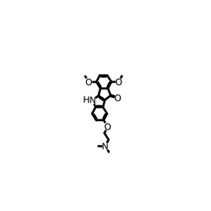 COc1ccc(OC)c2c1C(=O)c1c-2[nH]c2ccc(OCCN(C)C)cc12